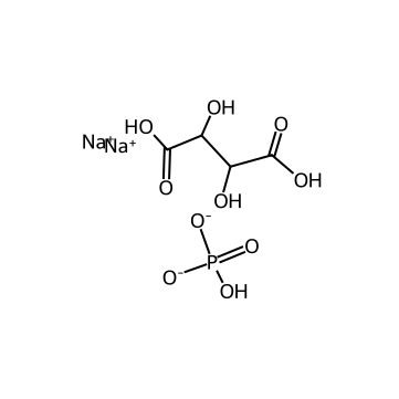 O=C(O)C(O)C(O)C(=O)O.O=P([O-])([O-])O.[Na+].[Na+]